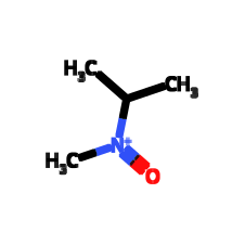 CC(C)[N+](C)=O